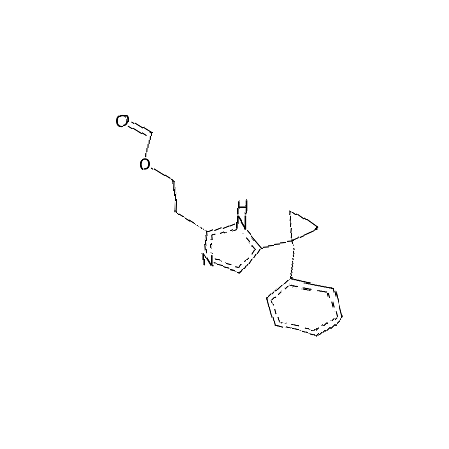 O=COCCc1ncc(C2(c3ccccc3)CC2)[nH]1